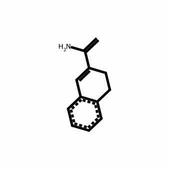 C=C(N)C1=Cc2ccccc2CC1